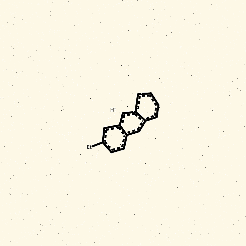 CCc1ccc2cc3ccccc3cc2c1.[H+]